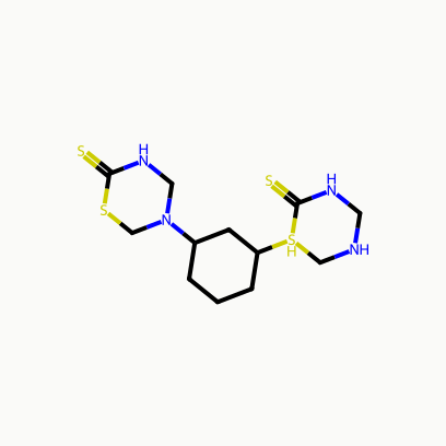 S=C1NCN(C2CCCC([SH]3CNCNC3=S)C2)CS1